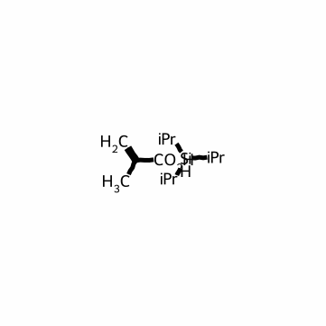 C=C(C)C(=O)O.CC(C)[SiH](C(C)C)C(C)C